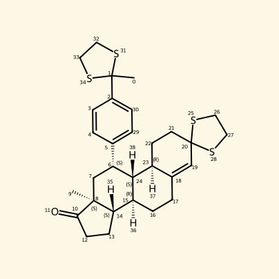 CC1(c2ccc([C@H]3C[C@]4(C)C(=O)CC[C@H]4[C@@H]4CCC5=CC6(CC[C@@H]5[C@H]43)SCCS6)cc2)SCCS1